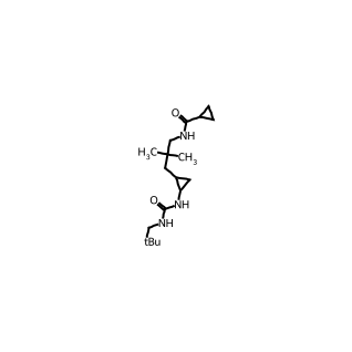 CC(C)(C)CNC(=O)NC1CC1CC(C)(C)CNC(=O)C1CC1